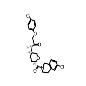 O=C(COc1ccc(Cl)cc1)N[C@@H]1CC[C@@H](C(=O)N2CCc3cc(Cl)ccc3C2)OC1